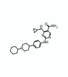 NC(=O)c1cnc(Nc2ccc(C3CCN(C4CCCCC4)CC3)cc2)nc1NC1CC1